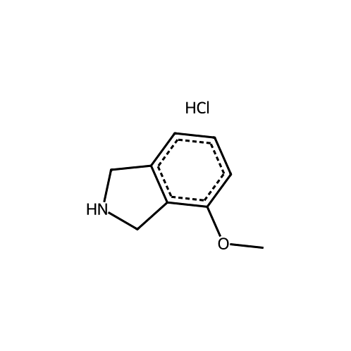 COc1cccc2c1CNC2.Cl